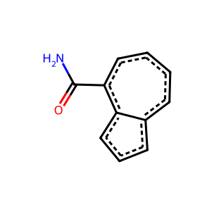 NC(=O)c1ccccc2cccc1-2